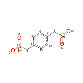 O=[SH](=O)Cc1ccc(C[SH](=O)=O)cc1